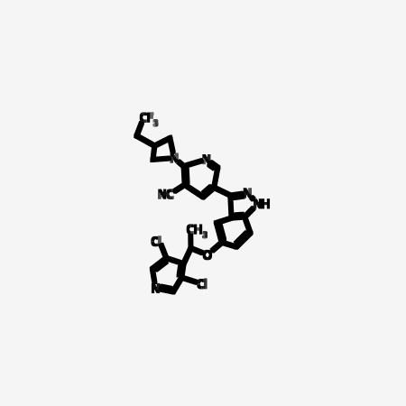 CC(Oc1ccc2[nH]nc(-c3cnc(N4CC(CC(F)(F)F)C4)c(C#N)c3)c2c1)c1c(Cl)cncc1Cl